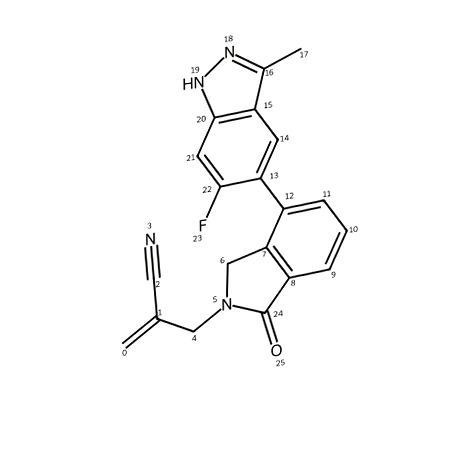 C=C(C#N)CN1Cc2c(cccc2-c2cc3c(C)n[nH]c3cc2F)C1=O